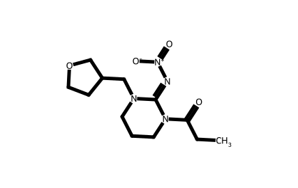 CCC(=O)N1CCCN(CC2CCOC2)C1=N[N+](=O)[O-]